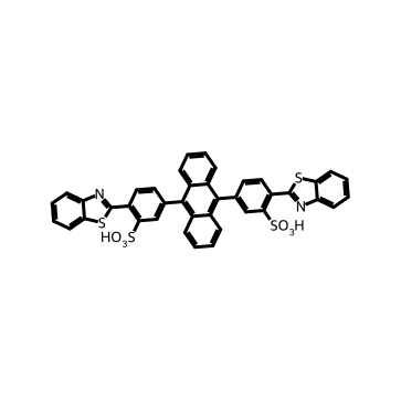 O=S(=O)(O)c1cc(-c2c3ccccc3c(-c3ccc(-c4nc5ccccc5s4)c(S(=O)(=O)O)c3)c3ccccc23)ccc1-c1nc2ccccc2s1